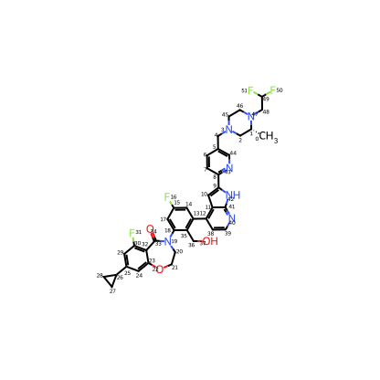 C[C@@H]1CN(Cc2ccc(-c3cc4c(-c5cc(F)cc(N6CCOc7cc(C8CC8)cc(F)c7C6=O)c5CO)ccnc4[nH]3)nc2)CCN1CC(F)F